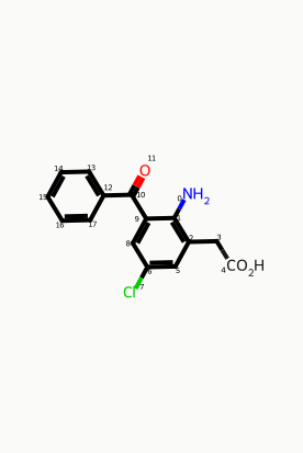 Nc1c(CC(=O)O)cc(Cl)cc1C(=O)c1ccccc1